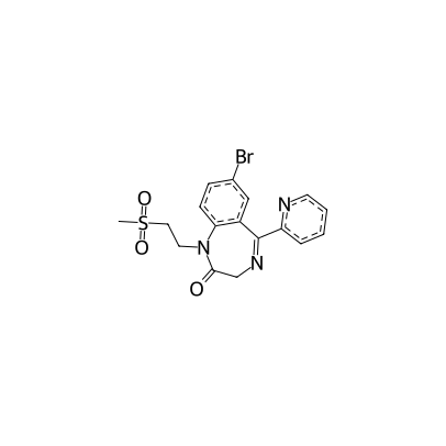 CS(=O)(=O)CCN1C(=O)CN=C(c2ccccn2)c2cc(Br)ccc21